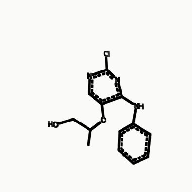 CC(CO)Oc1cnc(Cl)nc1Nc1ccccc1